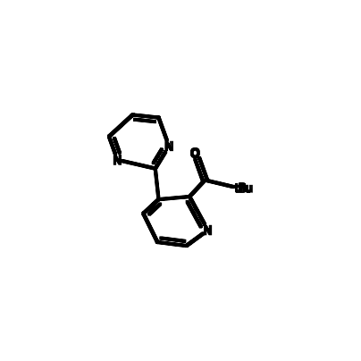 CC(C)(C)C(=O)c1ncccc1-c1ncccn1